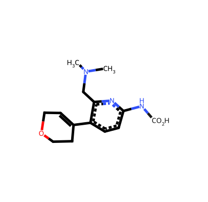 CN(C)Cc1nc(NC(=O)O)ccc1C1=CCOCC1